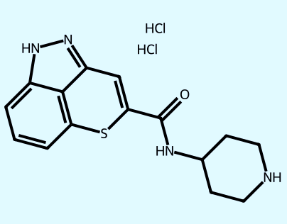 Cl.Cl.O=C(NC1CCNCC1)C1=Cc2n[nH]c3cccc(c23)S1